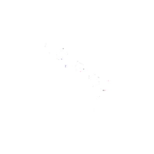 Cc1nc(Nc2cccc(N3CCCC3=O)n2)oc1-c1cc2c(c(S(C)(=O)=O)c1)C(=O)N(C(C)C1CC1)C2